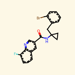 O=C(NC1(Cc2ccccc2Br)CC1)c1cnc2c(F)cccc2c1